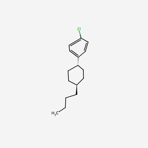 CCCC[C@H]1CC[C@H](c2ccc(Cl)cc2)CC1